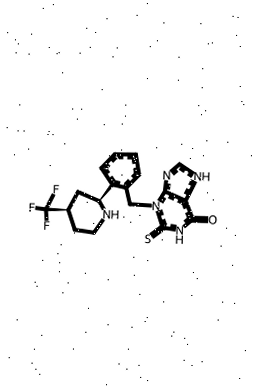 O=c1[nH]c(=S)n(Cc2ccccc2[C@@H]2C[C@H](C(F)(F)F)CCN2)c2nc[nH]c12